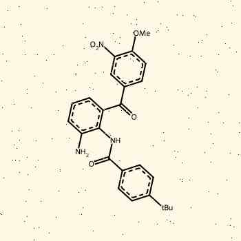 COc1ccc(C(=O)c2cccc(N)c2NC(=O)c2ccc(C(C)(C)C)cc2)cc1[N+](=O)[O-]